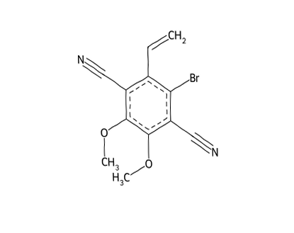 C=Cc1c(Br)c(C#N)c(OC)c(OC)c1C#N